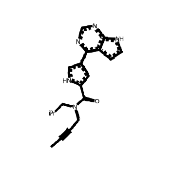 CC#CCN(CC(C)C)C(=O)c1cc(-c2ncnc3[nH]ccc23)c[nH]1